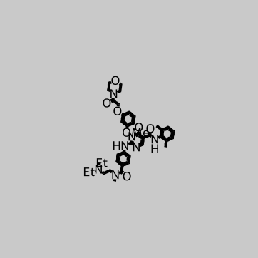 CCN(CC)CCN(C)C(=O)c1ccc(Nc2ncc(C(=O)Nc3c(C)cccc3C)c(Oc3ccc(OCC(=O)N4CCOCC4)cc3OC)n2)cc1